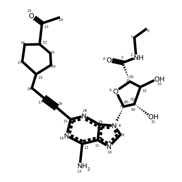 CCNC(=O)[C@H]1O[C@@H](n2cnc3c(N)nc(C#CCC4CCC(C(C)=O)CC4)nc32)[C@@H](O)C1O